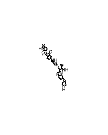 N=C(/C(=C\NC1CC(CNc2ccc3c(c2)C(=O)N(C2CCC(=O)NC2=O)C3=O)C1)c1cnc2ccc(CN3CCNCC3)cc2n1)C1CC1